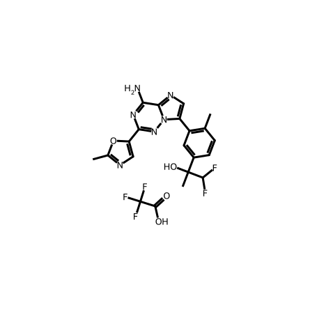 Cc1ncc(-c2nc(N)c3ncc(-c4cc(C(C)(O)C(F)F)ccc4C)n3n2)o1.O=C(O)C(F)(F)F